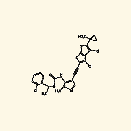 CC(OC(=O)Nc1c(C#Cc2sc3sc(C4(C(=O)O)CC4)c(Cl)c3c2Cl)cnn1C)c1ccccc1Cl